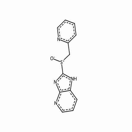 [O-][S+](Cc1ccccn1)c1nc2ncccc2[nH]1